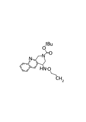 C=CCONC1CN(C(=O)OC(C)(C)C)Cc2nc3ccccc3cc21